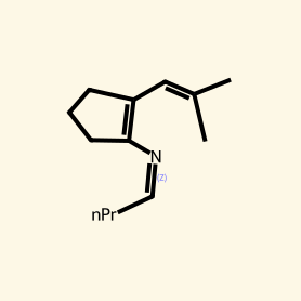 CCC/C=N\C1=C(C=C(C)C)CCC1